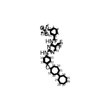 CN(c1cccc(CNc2nc(Nc3ccc(OC4CCCC(C5CCCCCC5)CC4)cc3)ncc2C(F)(F)F)c1)S(C)(=O)=O